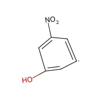 O=[N+]([O-])c1c[c]cc(O)c1